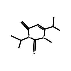 C=C1C=C(C(C)C)N(C)C(=O)N1C(C)C